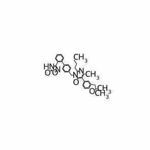 CCCCc1nc(C)c(-c2ccc3c(c2)CC(C)(C)O3)c(=O)n1Cc1ccc(-c2ccccc2-c2noc(=O)[nH]2)cc1